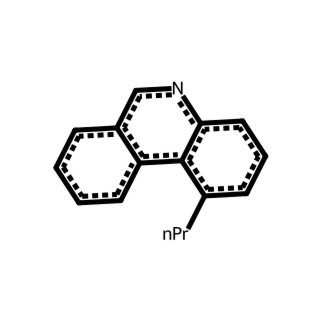 CCCc1cccc2ncc3ccccc3c12